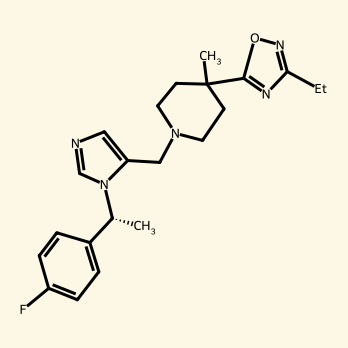 CCc1noc(C2(C)CCN(Cc3cncn3[C@H](C)c3ccc(F)cc3)CC2)n1